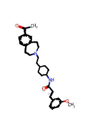 COc1cccc(/C=C/C(=O)NC2CCC(CCN3CCc4ccc(C(C)=O)cc4CC3)CC2)c1